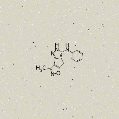 Cc1noc2c1-c1n[nH]c(Nc3ccccc3)c1C2